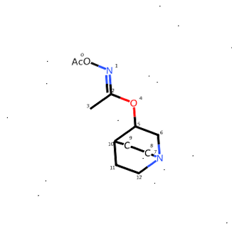 CC(=O)O/N=C(\C)OC1CN2CCC1CC2